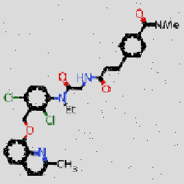 CCN(C(=O)CNC(=O)C=Cc1ccc(C(=O)NC)cc1)c1ccc(Cl)c(COc2cccc3ccc(C)nc23)c1Cl